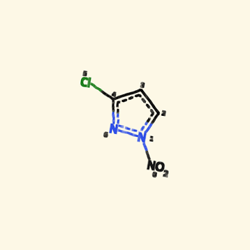 O=[N+]([O-])n1ccc(Cl)n1